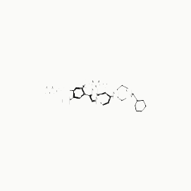 COc1cc(OC)c(-c2cn3ccc(N4CCCN(CC5CCCCC5)CC4)cc3n2)cc1Cl